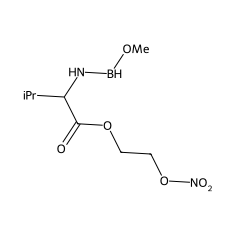 COBNC(C(=O)OCCO[N+](=O)[O-])C(C)C